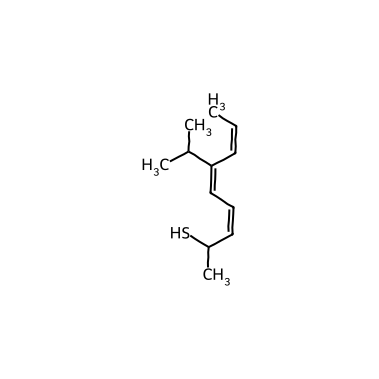 C\C=C/C(=C\C=C/C(C)S)C(C)C